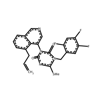 C=CCc1cccc2cncc(-n3c(=O)nc(SC)n(Cc4cc(F)c(F)cc4F)c3=O)c12